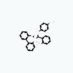 O=P1(C(Nc2ccc(O)cc2)c2ccccc2O)Oc2ccccc2-c2ccccc21